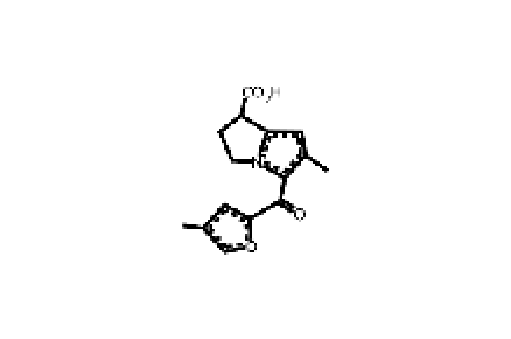 Cc1coc(C(=O)c2c(C)cc3n2CCC3C(=O)O)c1